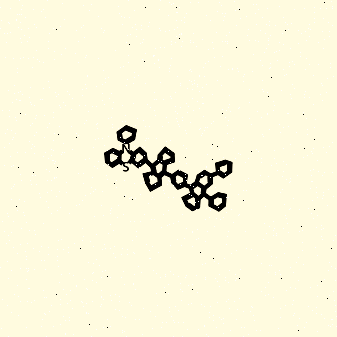 c1ccc(-c2ccc3c(-c4ccc(-c5c6ccccc6c(-c6ccc7c(c6)Sc6ccccc6N7c6ccccc6)c6ccccc56)cc4)c4ccccc4c(-c4ccccc4)c3c2)cc1